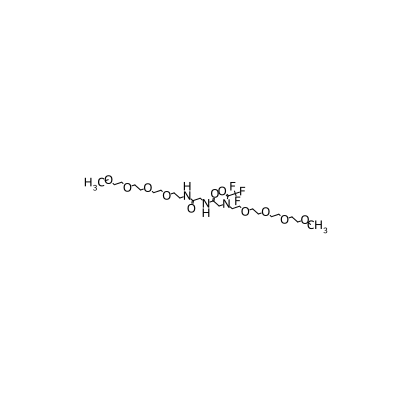 COCCOCCOCCOCCNC(=O)CNC(=O)CN(CCOCCOCCOCCOC)C(=O)C(F)(F)F